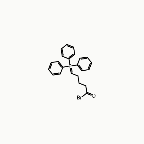 O=C(Br)CCCC=P(c1ccccc1)(c1ccccc1)c1ccccc1